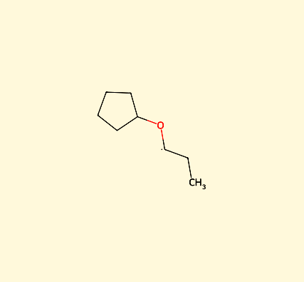 CC[CH]OC1CCCC1